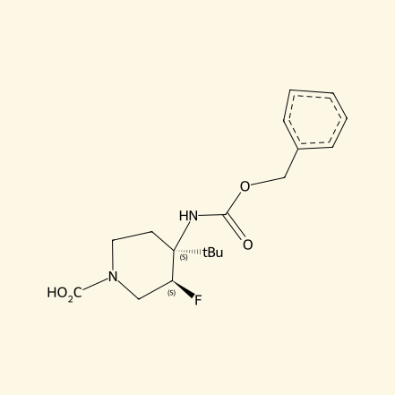 CC(C)(C)[C@@]1(NC(=O)OCc2ccccc2)CCN(C(=O)O)C[C@@H]1F